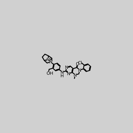 CN1CN(c2ccccc2Cl)C(=O)c2cnc(Nc3ccc(N4CC5CCC(C4)N5)c(CO)c3)nc21